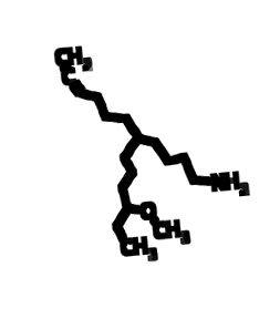 C=C=CCCCC(CCCCN)CCCC(CC)OC